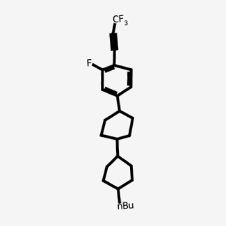 CCCCC1CCC(C2CCC(c3ccc(C#CC(F)(F)F)c(F)c3)CC2)CC1